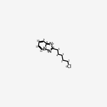 ClCCCCCc1nc2ccccn2n1